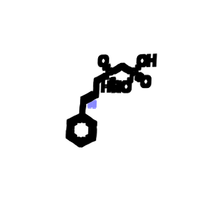 O=P(O)(O)CP(=O)(O)C/C=C/c1ccccc1